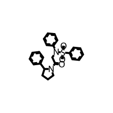 O=C(CN(c1ccccc1)S(=O)(=O)c1ccccc1)N1CCCC1c1ccccc1